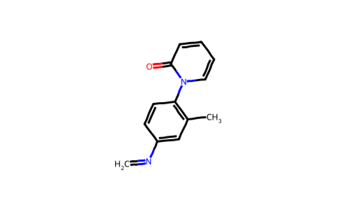 C=Nc1ccc(-n2ccccc2=O)c(C)c1